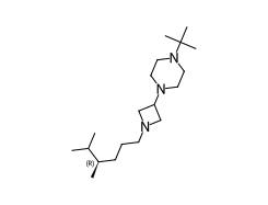 CC(C)[C@H](C)CCCN1CC(N2CCN(C(C)(C)C)CC2)C1